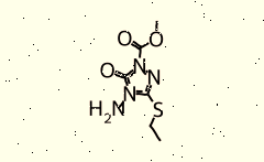 CCSc1nn(C(=O)OC)c(=O)n1N